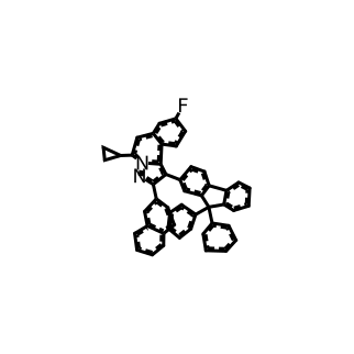 Fc1ccc2c(c1)cc(C1CC1)n1nc(-c3ccc4ccccc4c3)c(-c3ccc4c(c3)C(c3ccccc3)(c3ccccc3)c3ccccc3-4)c21